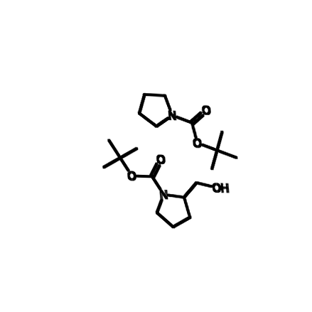 CC(C)(C)OC(=O)N1CCCC1.CC(C)(C)OC(=O)N1CCCC1CO